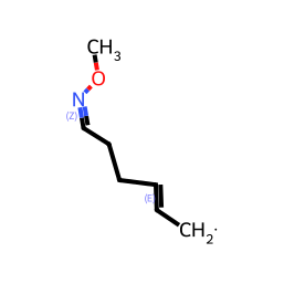 [CH2]/C=C/CC/C=N\OC